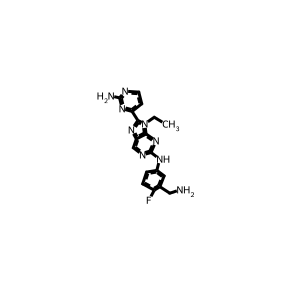 CCn1c(-c2ccnc(N)n2)nc2cnc(Nc3ccc(F)c(CN)c3)nc21